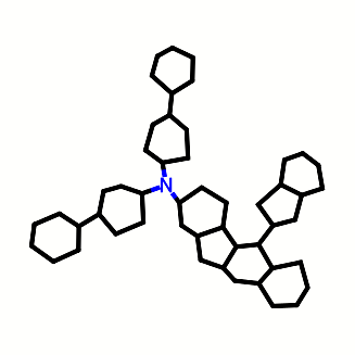 C1CCC(C2CCC(N(C3CCC(C4CCCCC4)CC3)C3CCC4C(CC5CC6CCCCC6C(C6CC7CCCCC7C6)C54)C3)CC2)CC1